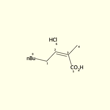 CCCCC/C=C(/C)C(=O)O.Cl